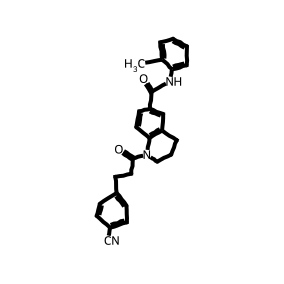 Cc1ccccc1NC(=O)c1ccc2c(c1)CCCN2C(=O)CCc1ccc(C#N)cc1